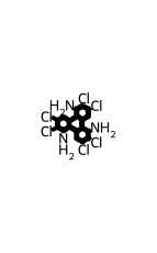 Nc1c(Cl)c(Cl)cc2c1c1cc(Cl)c(Cl)c(N)c1c1cc(Cl)c(Cl)c(N)c21